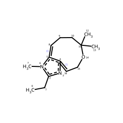 CCc1nc2/c(n1C)=C\CCC(C)(C)OC/C=2